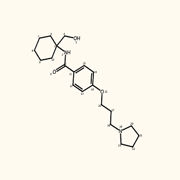 O=C(NC1(CO)CCCCC1)c1ccc(OCCCN2CCCC2)cc1